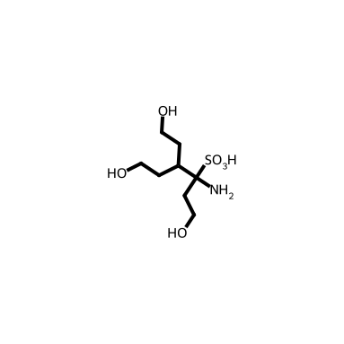 NC(CCO)(C(CCO)CCO)S(=O)(=O)O